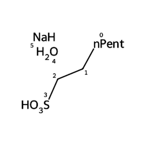 CCCCCCCS(=O)(=O)O.O.[NaH]